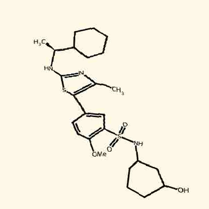 COc1ccc(-c2sc(N[C@@H](C)C3CCCCC3)nc2C)cc1S(=O)(=O)NC1CCCC(O)C1